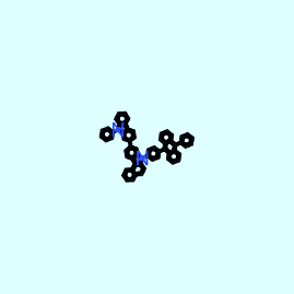 c1ccc(-c2c3ccccc3c(-c3ccc(-n4c5cc(-c6ccc7c8ccccc8n(-c8ccccc8)c7c6)ccc5c5c6ccccc6ccc54)cc3)c3ccccc23)cc1